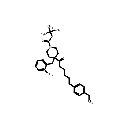 CCc1ccc(CCCCCC(=O)C2(Cc3ccccc3C)CCN(C(=O)OC(C)(C)C)CC2)cc1